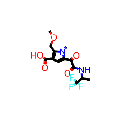 COCc1c(C(=O)O)cc(C(=O)C(=O)NC(C)C(F)(F)F)n1C